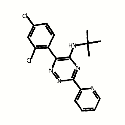 CC(C)(C)Nc1nc(-c2ccccn2)nnc1-c1ccc(Cl)cc1Cl